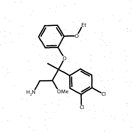 CCOc1ccccc1OC(C)(c1ccc(Cl)c(Cl)c1)C(CN)OC